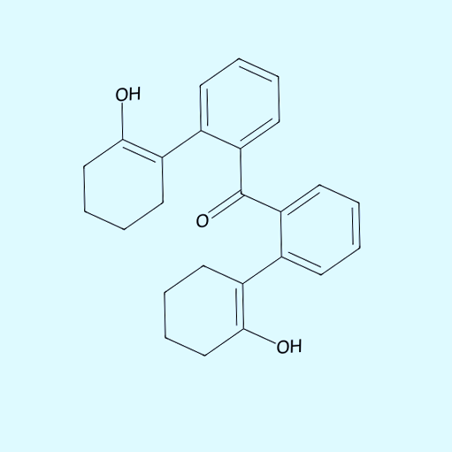 O=C(c1ccccc1C1=C(O)CCCC1)c1ccccc1C1=C(O)CCCC1